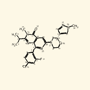 CC(C)c1nc2c(-c3ccc(Cl)cc3F)nc(N3CCO[C@@H](c4cnn(C)c4)C3)cc2c(=O)n1C